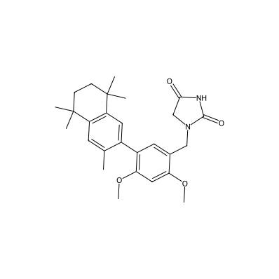 COc1cc(OC)c(-c2cc3c(cc2C)C(C)(C)CCC3(C)C)cc1CN1CC(=O)NC1=O